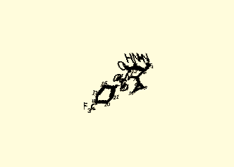 O=C1c2[nH]ncc2C(C2CC2)N1S(=O)(=O)c1ccc(C(F)(F)F)cc1